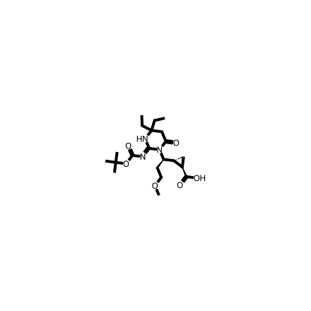 CCC1(CC)CC(=O)N([C@H](CCOC)[C@@H]2C[C@H]2C(=O)O)/C(=N/C(=O)OC(C)(C)C)N1